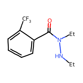 CCNN(CC)C(=O)c1ccccc1C(F)(F)F